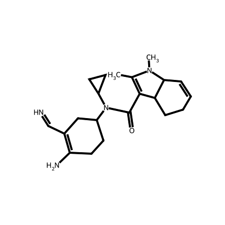 CC1=C(C(=O)N(C2CC2)C2CCC(N)=C(C=N)C2)C2CCC=CC2N1C